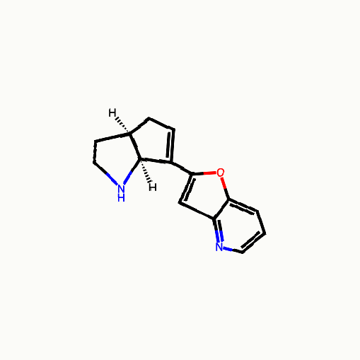 C1=C(c2cc3ncccc3o2)[C@H]2NCC[C@H]2C1